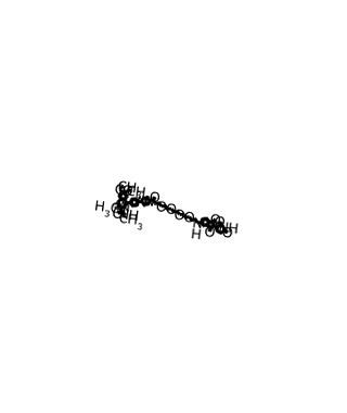 CNC(=O)N1N=C(c2ccc(N3CCN(C(=O)CCOCCOCCOCCOCCNc4ccc5c(c4)C(=O)N(C4CCC(=O)NC4=O)C5=O)CC3)cc2)c2cc(OC)c(OC)cc2C[C@@H]1C